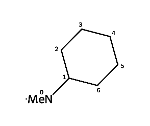 C[N]C1CCCCC1